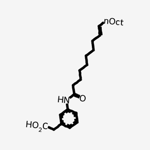 CCCCCCCC/C=C/CCCCCCCC(=O)Nc1cccc(CC(=O)O)c1